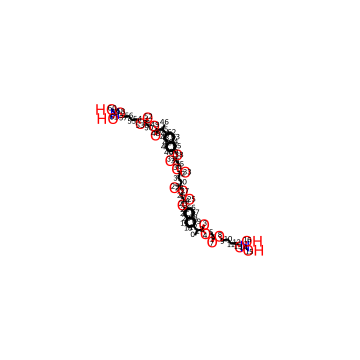 CC(C(=O)OCC(=O)OCCCCON(O)O)c1ccc2cc(OC(=O)COC(=O)CCC(=O)OCC(=O)Oc3ccc4cc(C(C)C(=O)OCC(=O)OCCCCON(O)O)ccc4c3)ccc2c1